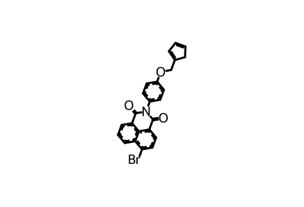 O=C1c2cccc3c(Br)ccc(c23)C(=O)N1c1ccc(OCC2=CC=CC2)cc1